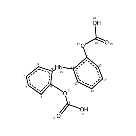 O=C(O)Oc1ccccc1Nc1ccccc1OC(=O)O